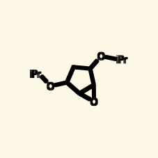 CC(C)OC1CC(OC(C)C)C2OC12